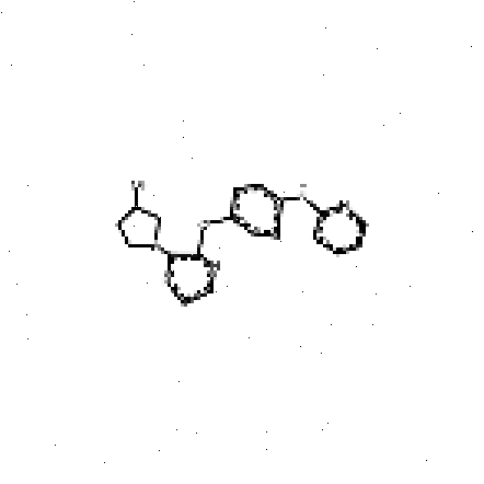 OC1CCN(c2nccnc2Oc2ccc(Nc3ccccn3)cc2)C1